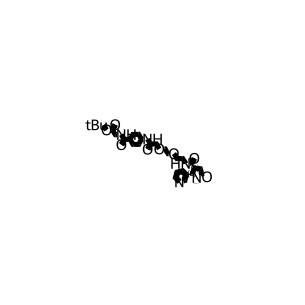 CN1C(=O)C[C@H](C(=O)NCCOCCOCC(=O)NC2CCC(C(=O)NCC(=O)OC(C)(C)C)CC2)[C@H]1c1cccnc1